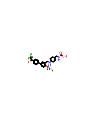 COc1ccc(-c2ccc(C(=O)C(F)(F)F)cc2)cc1CNC1CCC(CNC(=O)O)CC1